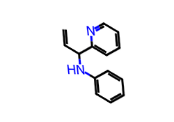 C=CC(Nc1ccccc1)c1ccccn1